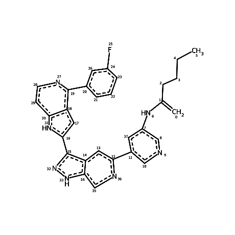 C=C(CCCC)Nc1cncc(-c2cc3c(-c4cc5c(-c6cccc(F)c6)nccc5[nH]4)n[nH]c3cn2)c1